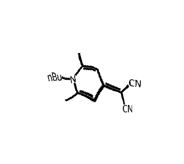 CCCCN1C(C)=CC(=C(C#N)C#N)C=C1C